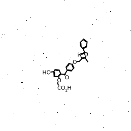 Cc1oc(-c2ccccc2)nc1COc1ccc(C(=O)c2ccc(O)cc2OCC(=O)O)cc1